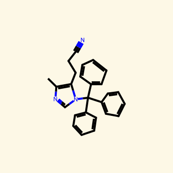 Cc1ncn(C(c2ccccc2)(c2ccccc2)c2ccccc2)c1CCC#N